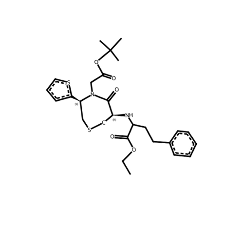 CCOC(=O)C(CCc1ccccc1)N[C@H]1CSC[C@@H](c2cccs2)N(CC(=O)OC(C)(C)C)C1=O